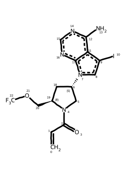 C=CC(=O)N1C[C@@H](n2cc(I)c3c(N)ncnc32)C[C@@H]1COC(F)(F)F